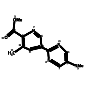 CNc1cnc(-c2cnc(C(=O)OC)c(C)c2)nc1